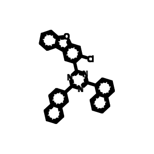 Clc1cc2oc3ccccc3c2cc1-c1nc(-c2ccc3ccccc3c2)nc(-c2cccc3ccccc23)n1